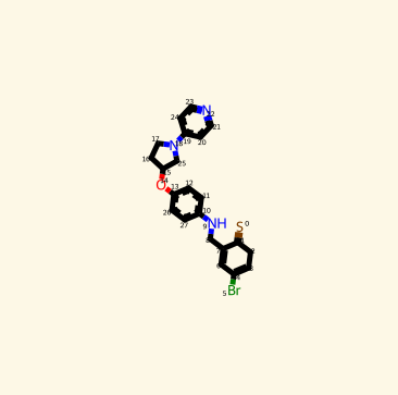 S=C1CC=C(Br)C=C1CNc1ccc(OC2CCN(c3ccncc3)C2)cc1